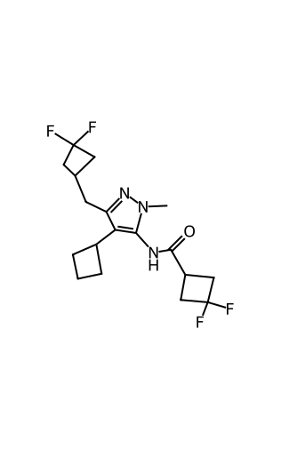 Cn1nc(CC2CC(F)(F)C2)c(C2CCC2)c1NC(=O)C1CC(F)(F)C1